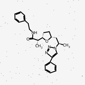 C[C@H](C(=O)NCCc1ccccc1)[C@@H]1CC[C@H](C[C@@H](C)n2cc(-c3ccccc3)nn2)O1